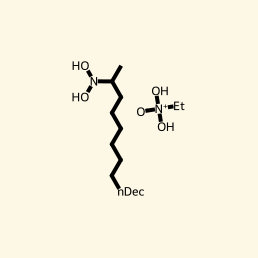 CCCCCCCCCCCCCCCCC(C)N(O)O.CC[N+]([O-])(O)O